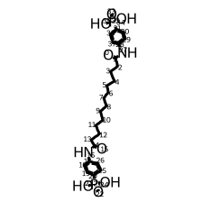 O=C(CCCCCCCCCCCCC(=O)Nc1ccc(P(=O)(O)O)cc1)Nc1ccc(P(=O)(O)O)cc1